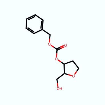 O=C(OCc1ccccc1)OC1CCOC1CO